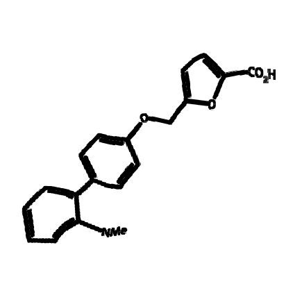 CNc1ccccc1-c1ccc(OCc2ccc(C(=O)O)o2)cc1